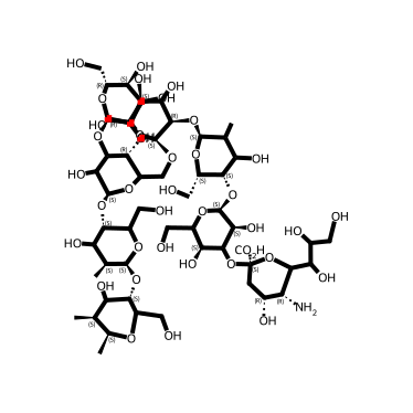 CC1C(O)[C@H](O[C@@H]2OC(CO)[C@H](O)C(O[C@]3(C(=O)O)C[C@@H](O)[C@@H](N)C(C(O)C(O)CO)O3)[C@@H]2O)[C@H](CO)O[C@H]1O[C@@H]1C(O)[C@H](O)C(CO)O[C@@H]1OCC1O[C@@H](O[C@@H]2C(CO)O[C@@H](O[C@@H]3C(CO)O[C@@H](C)[C@@H](C)C3O)[C@@H](C)C2O)C(O)C(O[C@H]2O[C@H](CO)[C@@H](O)C(O)C2O)[C@@H]1O